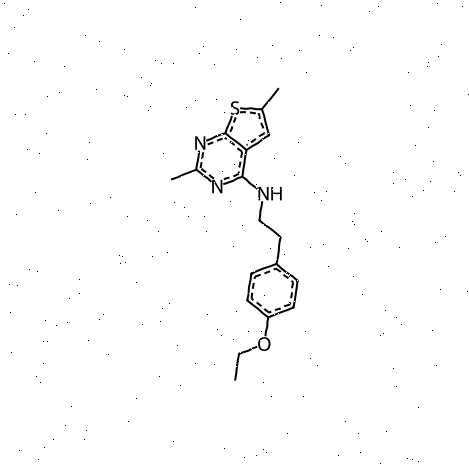 CCOc1ccc(CCNc2nc(C)nc3sc(C)cc23)cc1